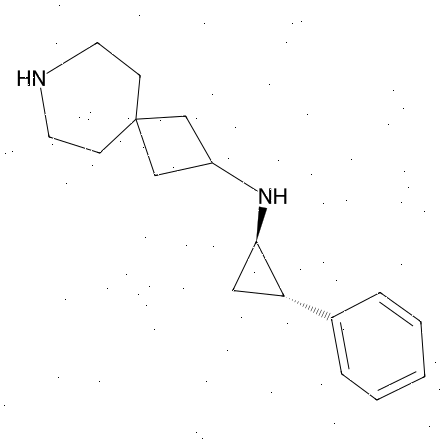 c1ccc([C@@H]2C[C@H]2NC2CC3(CCNCC3)C2)cc1